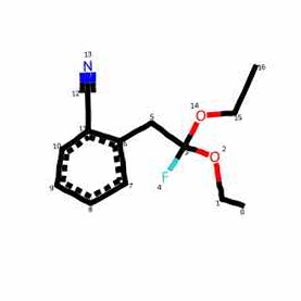 CCOC(F)(Cc1c[c]ccc1C#N)OCC